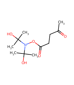 CC(=O)CCC(=O)ON(C(C)(C)O)C(C)(C)O